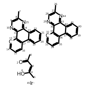 CC(=O)/C=C(/C)O.Cc1cnc2c3[c-]cccc3c3ccccc3c2n1.Cc1cnc2c3[c-]cccc3c3ccccc3c2n1.[Ir]